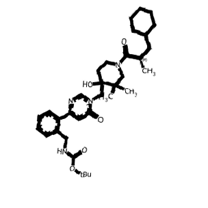 C[C@H](CC1CCCCC1)C(=O)N1CCC(O)(Cn2cnc(-c3ccccc3CNC(=O)OC(C)(C)C)cc2=O)C(C)(C)C1